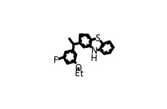 CCOc1cc(F)cc(C(C)c2ccc3c(c2)Nc2ccccc2S3)c1